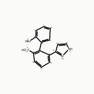 CCCCc1ccccc1-c1c(C(=O)O)cccc1-c1cc[nH]n1